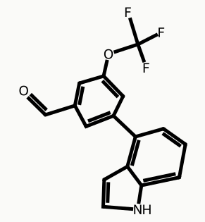 O=Cc1cc(OC(F)(F)F)cc(-c2cccc3[nH]ccc23)c1